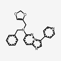 C1=C(CN(Cc2ccccc2)c2ccc3ncc(-c4ccncc4)n3n2)OCO1